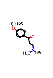 CCCCCCCOc1ccc(C(=O)CCN(C)CCC)cc1